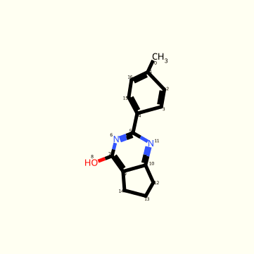 Cc1ccc(-c2nc(O)c3c(n2)CCC3)cc1